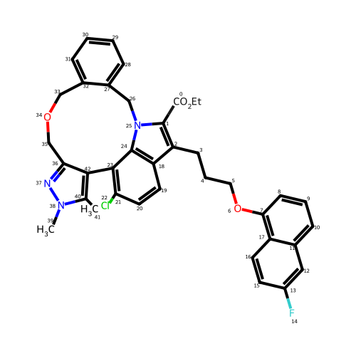 CCOC(=O)c1c(CCCOc2cccc3cc(F)ccc23)c2ccc(Cl)c3c2n1Cc1ccccc1COCc1nn(C)c(C)c1-3